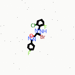 Fc1ccc(-c2noc(-c3nc(-c4c(F)cccc4Cl)[nH]c3Br)n2)cc1